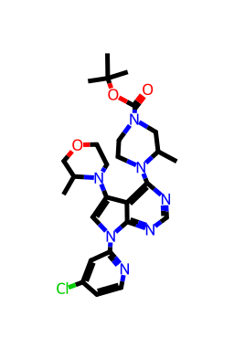 CC1COCCN1c1cn(-c2cc(Cl)ccn2)c2ncnc(N3CCN(C(=O)OC(C)(C)C)CC3C)c12